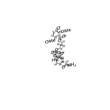 COc1ccc(Cl)c(OC)c1C(=O)OCC(C)(C)COS(=O)(=O)ON1C(=O)N2C[C@H]1CC[C@H]2CC(N)=O